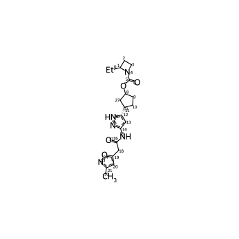 CCC1CCN1C(=O)OC1CC[C@H](c2cc(NC(=O)Cc3cc(C)no3)n[nH]2)C1